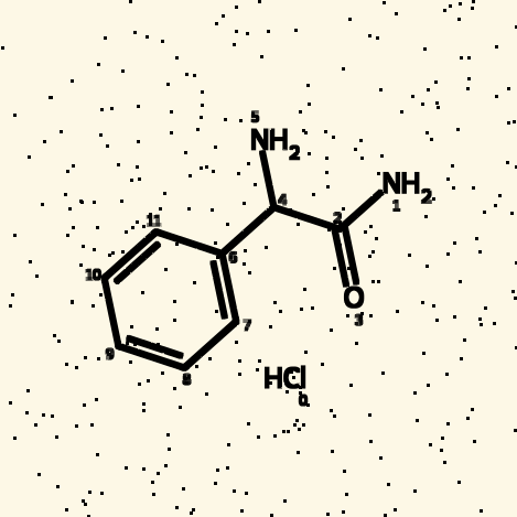 Cl.NC(=O)C(N)c1ccccc1